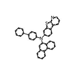 c1ccc(-c2ccc(N(c3ccc4c(c3)sc3ncccc34)c3cc4ccccc4c4ccccc34)cc2)cc1